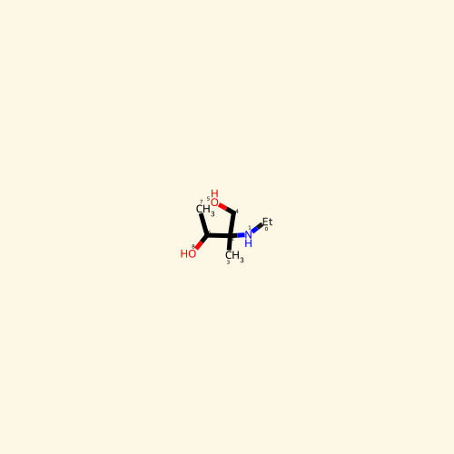 CCNC(C)(CO)C(C)O